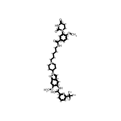 COc1cc2nn(C3CCN(CCCCCNC(=O)c4ccc(OC)c(N5CCC(=O)NC5=O)c4)CC3)cc2cc1NC(O)c1cccc(C(F)(F)F)n1